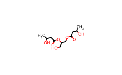 CC(O)CC(=O)OCC(CO)OC(=O)CC(C)O